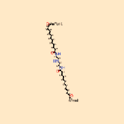 CCCCCC1OC1CC=CCCCCCCCC(=O)NCCNCCNC(=O)CCCCCCCC=CCC1OC1CCCCC